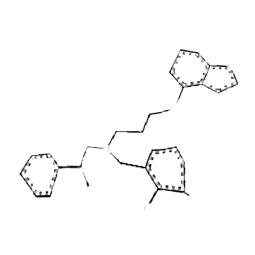 C[C@H](CN(CCCOc1cccc2[nH]ccc12)Cc1cccc(C(F)(F)F)c1F)c1ccccc1